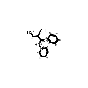 CC(CS)C(=O)NN1CCCCC1.c1ccccc1